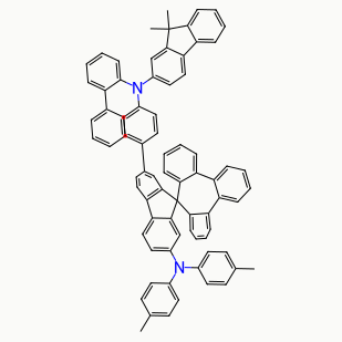 Cc1ccc(N(c2ccc(C)cc2)c2ccc3c(c2)C2(c4ccccc4-c4ccccc4-c4ccccc42)c2cc(-c4ccc(N(c5ccc6c(c5)C(C)(C)c5ccccc5-6)c5ccccc5-c5ccccc5)cc4)ccc2-3)cc1